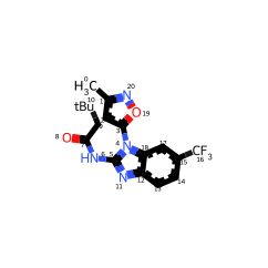 Cc1cc(-n2c(NC(=O)CC(C)(C)C)nc3ccc(C(F)(F)F)cc32)on1